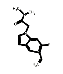 C=Cc1cc2ccn(CC(=O)N(C)C)c2cc1F